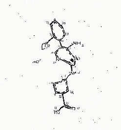 Cl.Nc1nc(Nc2cccc(C(=O)O)c2)ncc1-c1ccccc1Cl